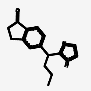 CCCC(c1ccc2c(c1)CCC2=O)c1ncc[nH]1